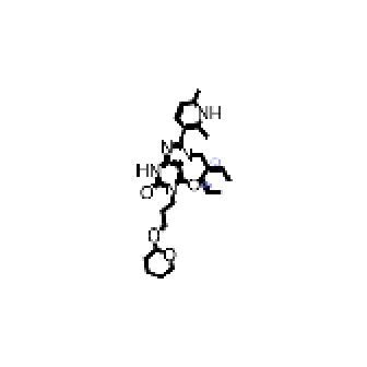 C/C=C\C(=C/C)Cn1c(C2=C(C)NC(C)C=C2)nc2[nH]c(=O)n(CCCOC3CCCCO3)c(=O)c21